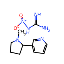 CN1CCCC1c1cccnc1.N=C(N)N[N+](=O)[O-]